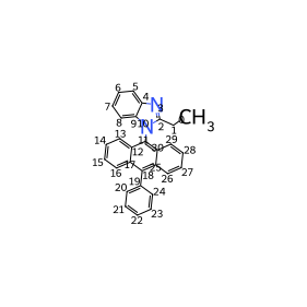 CCc1nc2ccccc2n1-c1c2ccccc2c(-c2ccccc2)c2ccccc12